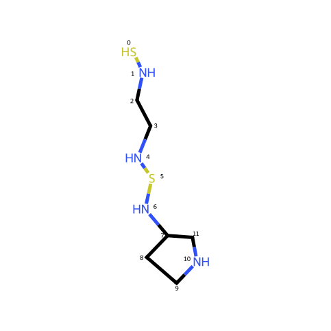 SNCCNSNC1CCNC1